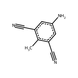 Cc1c(C#N)cc(N)cc1C#N